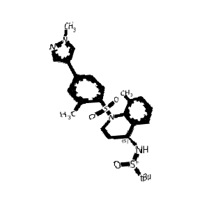 Cc1cc(-c2cnn(C)c2)ccc1S(=O)(=O)N1CC[C@H](N[S+]([O-])C(C)(C)C)c2cccc(C)c21